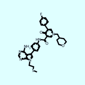 CSCCn1cc(-c2ccc(NC(=O)c3cn(CC4CCOCC4)cc(-c4ccc(F)cc4)c3=O)cc2)c2c(N)ncnc21